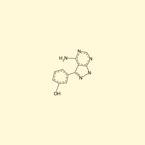 Nc1ncnc2c1C(c1cccc(O)c1)=N[N]2